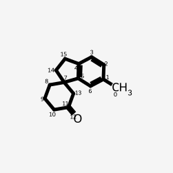 Cc1ccc2c(c1)C1(CCCC(=O)C1)CC2